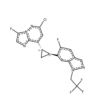 Fc1cc2cnn(CC(F)(F)F)c2cc1[C@H]1C[C@@H]1c1cc(Cl)nn2c(F)cnc12